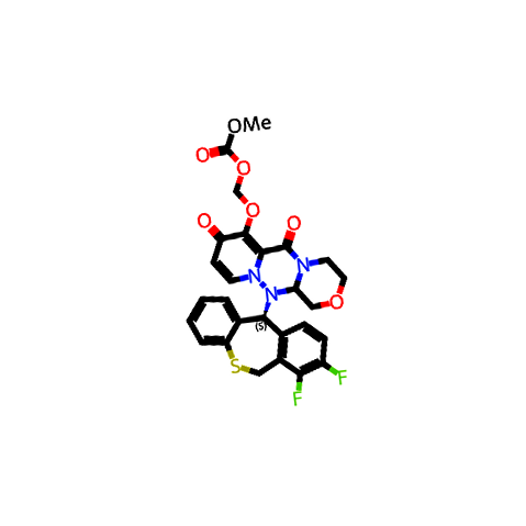 COC(=O)OCOc1c2n(ccc1=O)N([C@@H]1c3ccccc3SCc3c1ccc(F)c3F)C1COCCN1C2=O